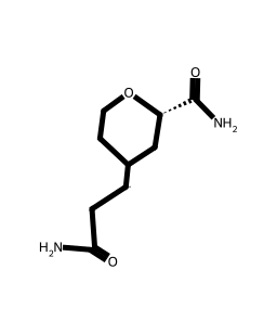 NC(=O)C[CH]C1CCO[C@H](C(N)=O)C1